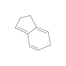 C1=CC2=CCCC2=CC1